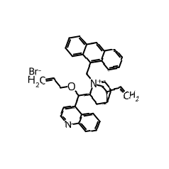 C=CCOC(c1ccnc2ccccc12)C1CC2CC[N+]1(Cc1c3ccccc3cc3ccccc13)CC2C=C.[Br-]